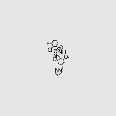 COc1cc(Cn2cccn2)cc2onc(NS(=O)(=O)c3cccc(F)c3Cl)c12